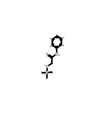 C[Si](C)(C)OCC(=S)Oc1ccccc1